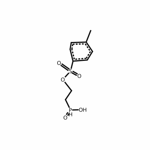 Cc1ccc(S(=O)(=O)OCC[PH](=O)O)cc1